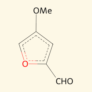 COc1coc(C=O)c1